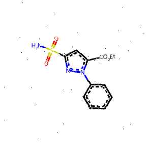 CCOC(=O)c1cc(S(N)(=O)=O)nn1-c1ccccc1